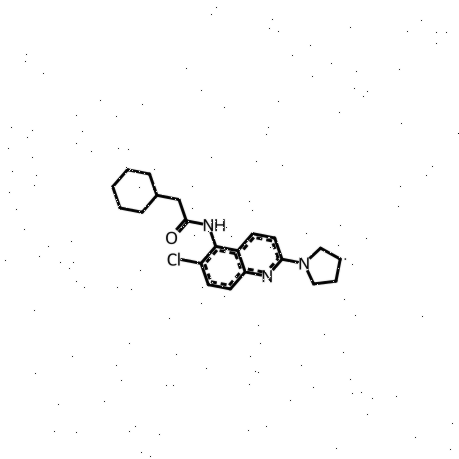 O=C(CC1CCCCC1)Nc1c(Cl)ccc2nc(N3C[CH]CC3)ccc12